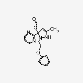 CC1=CC(OC=O)(c2ncccn2)N(CCOc2ccccc2)N1